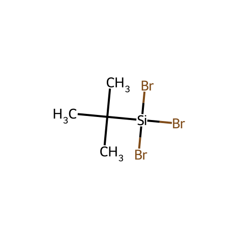 CC(C)(C)[Si](Br)(Br)Br